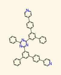 c1ccc(-c2cc(-c3ccc(-c4ccncc4)cc3)cc(-c3nc(-c4ccccc4)nc(-c4cc(-c5ccccc5)cc(-c5ccc(-c6ccncc6)cc5)c4)n3)c2)cc1